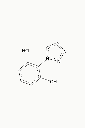 Cl.Oc1ccccc1-n1ccnn1